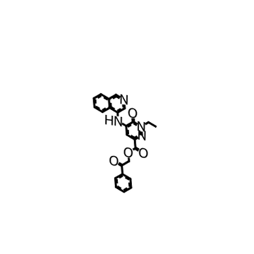 CCn1nc(C(=O)OCC(=O)c2ccccc2)cc(Nc2cncc3ccccc23)c1=O